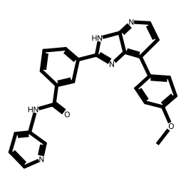 COc1ccc(-c2ccnc3[nH]c(-c4cccc(C(=O)Nc5cccnc5)c4)nc23)cc1